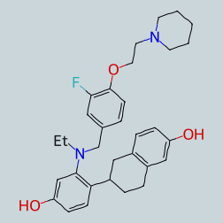 CCN(Cc1ccc(OCCN2CCCCC2)c(F)c1)c1cc(O)ccc1C1CCc2cc(O)ccc2C1